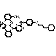 Cc1cccc(C)c1OC(=O)N(c1ccnc(Nc2ccc(OCCCN3CCCCC3)cc2)n1)c1ccccc1-c1cnco1